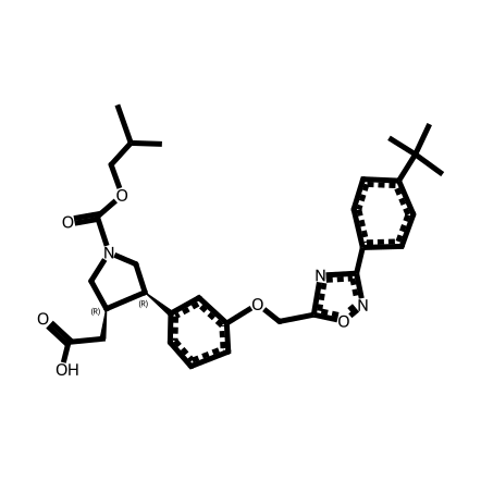 CC(C)COC(=O)N1C[C@H](CC(=O)O)[C@H](c2cccc(OCc3nc(-c4ccc(C(C)(C)C)cc4)no3)c2)C1